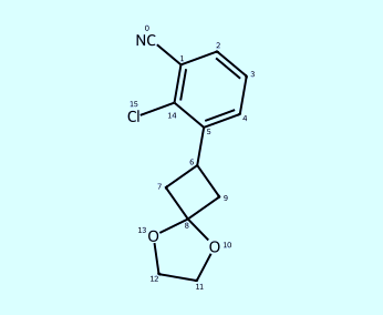 N#Cc1cccc(C2CC3(C2)OCCO3)c1Cl